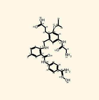 Cc1ccc(NCc2cc(NC(=O)CN)cc(OC(C)C)c2CCC(=O)O)c(C(=O)Nc2ccc(/C(N)=N/O)cc2)c1